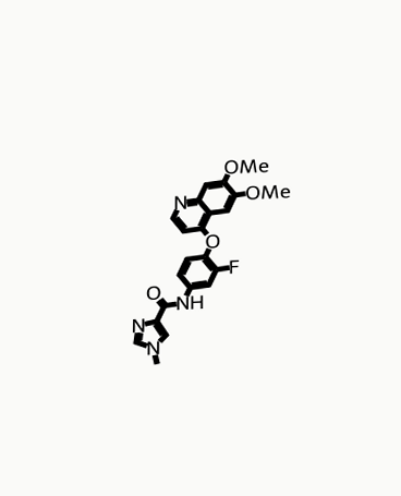 COc1cc2nccc(Oc3ccc(NC(=O)c4cn(C)cn4)cc3F)c2cc1OC